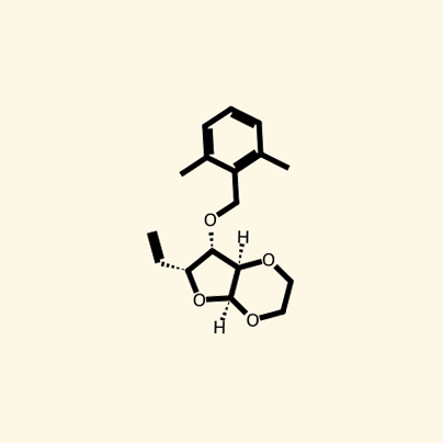 C=C[C@H]1O[C@@H]2OCCO[C@@H]2[C@H]1OCc1c(C)cccc1C